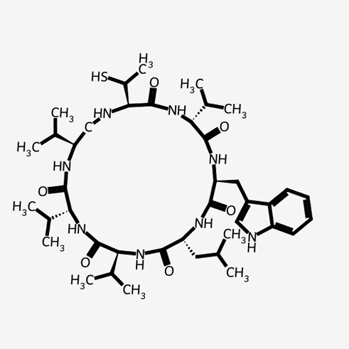 CC(C)C[C@H]1NC(=O)[C@H](Cc2c[nH]c3ccccc23)NC(=O)[C@@H](C(C)C)NC(=O)[C@H](C(C)S)NC[C@H](C(C)C)NC(=O)[C@@H](C(C)C)NC(=O)[C@H](C(C)C)NC1=O